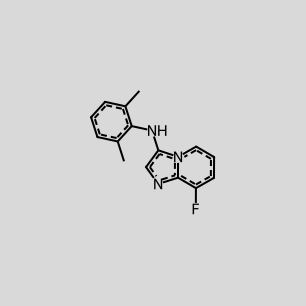 Cc1cccc(C)c1Nc1cnc2c(F)cccn12